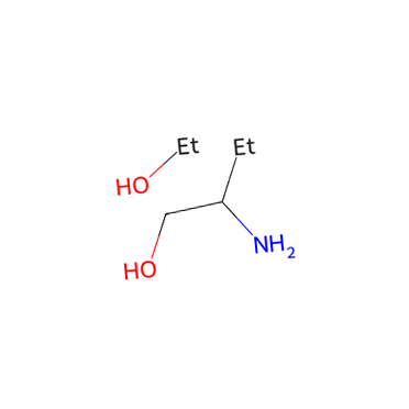 CCC(N)CO.CCO